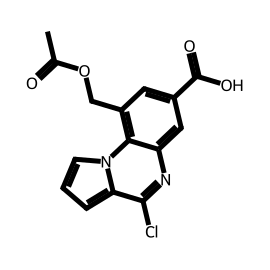 CC(=O)OCc1cc(C(=O)O)cc2nc(Cl)c3cccn3c12